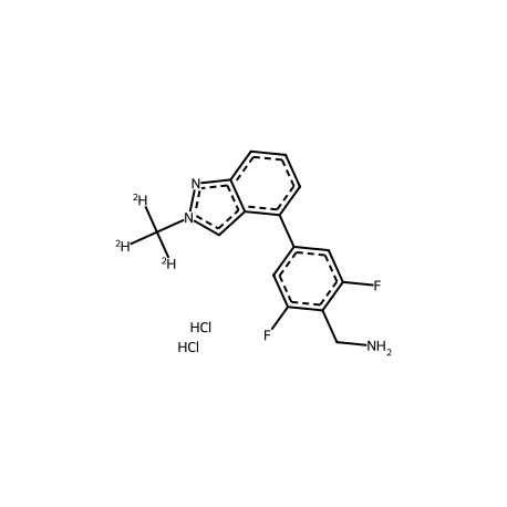 Cl.Cl.[2H]C([2H])([2H])n1cc2c(-c3cc(F)c(CN)c(F)c3)cccc2n1